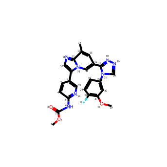 COC(=O)Nc1ccc(-c2cnc3c(C)cc(-c4nncn4-c4ccc(F)c(OC)c4)cn23)cn1